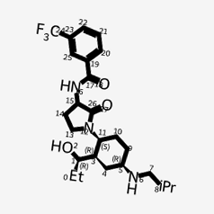 CC[C@@H](O)[C@@H]1C[C@H](NCC(C)C)CC[C@@H]1N1CCC(NC(=O)c2cccc(C(F)(F)F)c2)C1=O